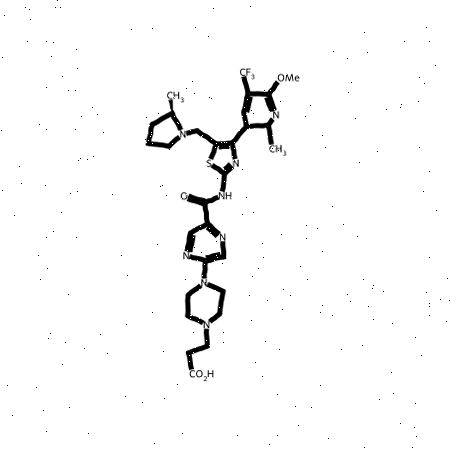 COC1=NC(C)C(c2nc(NC(=O)c3cnc(N4CCN(CCC(=O)O)CC4)cn3)sc2CN2CCC[C@H]2C)C=C1C(F)(F)F